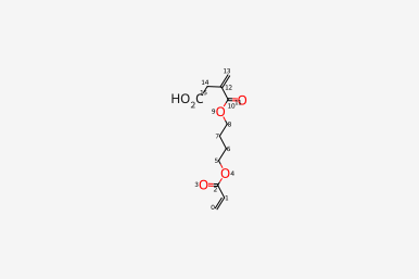 C=CC(=O)OCCCCOC(=O)C(=C)CC(=O)O